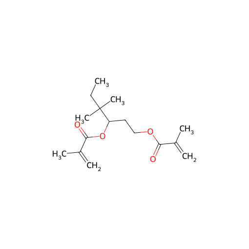 C=C(C)C(=O)OCCC(OC(=O)C(=C)C)C(C)(C)CC